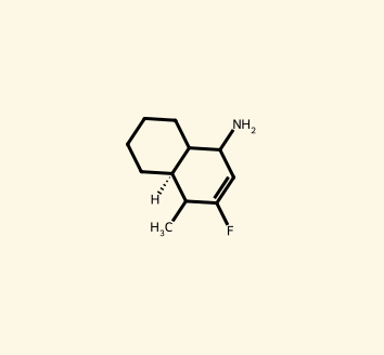 CC1C(F)=CC(N)C2CCCC[C@H]12